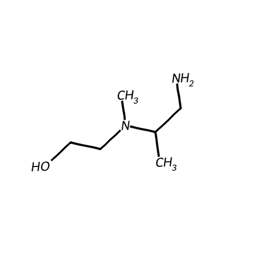 CC(CN)N(C)CCO